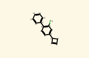 Fc1cc(C2C=CC2)ccc1-c1ccccc1